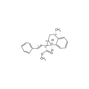 COC(=O)[C@@]1(/I=C/c2ccccc2)[C@@H]2c3ccccc3[C@@H](C)C[C@@H]21